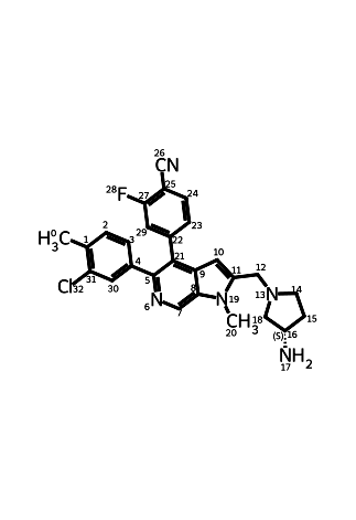 Cc1ccc(-c2ncc3c(cc(CN4CC[C@H](N)C4)n3C)c2-c2ccc(C#N)c(F)c2)cc1Cl